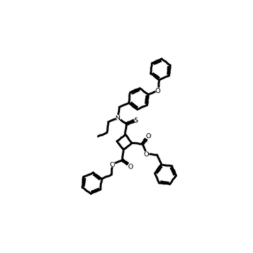 CCCN(Cc1ccc(Oc2ccccc2)cc1)C(=S)C1CC(C(=O)OCc2ccccc2)C1C(=O)OCc1ccccc1